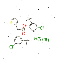 CC(C)(C)c1cc(Cl)ccc1[O][Ti](=[CH]c1cccs1)[O]c1ccc(Cl)cc1C(C)(C)C.Cl.Cl